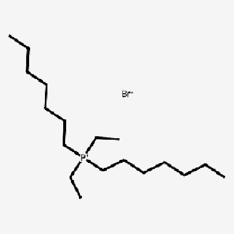 CCCCCCC[P+](CC)(CC)CCCCCCC.[Br-]